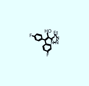 CCn1nnnc1C(CO)=C(c1ccc(F)cc1)c1ccc(F)cc1